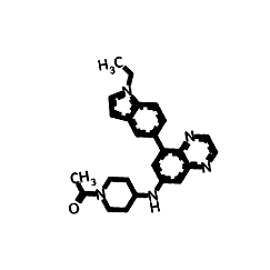 CCn1ccc2cc(-c3cc(NC4CCN(C(C)=O)CC4)cc4nccnc34)ccc21